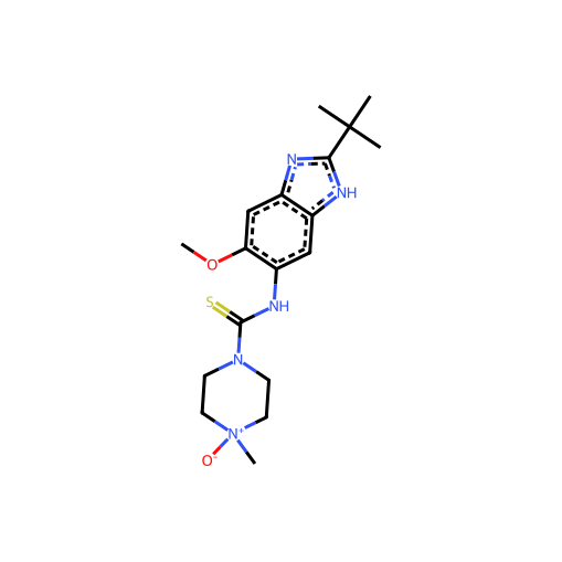 COc1cc2nc(C(C)(C)C)[nH]c2cc1NC(=S)N1CC[N+](C)([O-])CC1